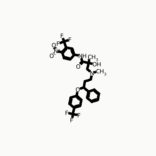 CN(CCC(Oc1ccc(C(F)(F)F)cc1)c1ccccc1)CC(C)(O)C(=O)Nc1ccc([N+](=O)[O-])c(C(F)(F)F)c1